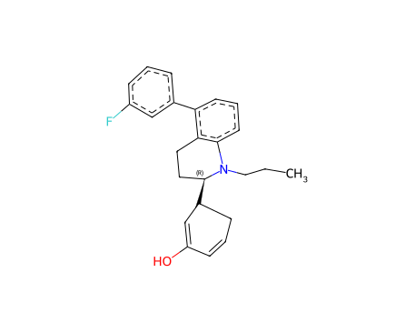 CCCN1c2cccc(-c3cccc(F)c3)c2CC[C@@H]1C1C=C(O)C=CC1